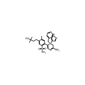 Cc1cc(C2=CN=C(N)C[N+]2(Cc2ccncc2)c2cn[nH]c2)c(S(N)(=O)=O)cc1CCC(C)(C)O